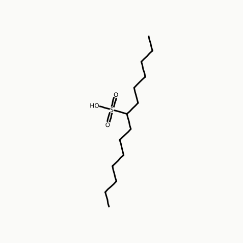 CCCCCCCC(CCCCCC)S(=O)(=O)O